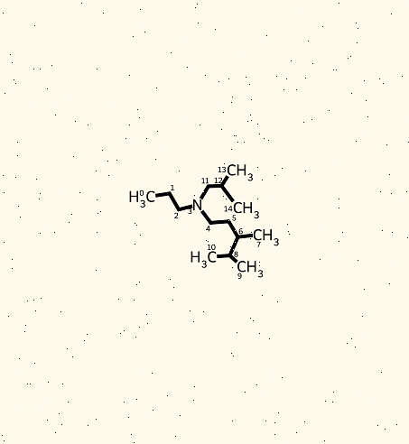 CCCN(CCC(C)C(C)C)CC(C)C